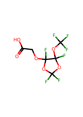 O=C(O)COC1(F)OC(F)(F)OC1(F)OC(F)(F)F